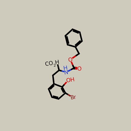 O=C(NC(Cc1cccc(Br)c1O)C(=O)O)OCc1ccccc1